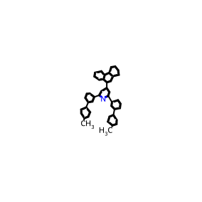 Cc1ccc(-c2cccc(-c3cc(-c4cc5ccccc5c5ccccc45)cc(-c4cccc(-c5ccc(C)cc5)c4)n3)c2)cc1